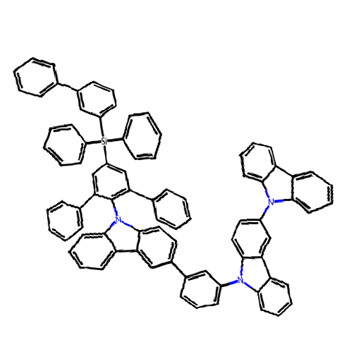 c1ccc(-c2cccc([Si](c3ccccc3)(c3ccccc3)c3cc(-c4ccccc4)c(-n4c5ccccc5c5cc(-c6cccc(-n7c8ccccc8c8cc(-n9c%10ccccc%10c%10ccccc%109)ccc87)c6)ccc54)c(-c4ccccc4)c3)c2)cc1